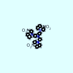 O=[N+]([O-])c1cccc(N(c2cccc(-n3c4ccc(N(c5cccc([N+](=O)[O-])c5)c5cccc6ccccc56)cc4c4cc(N(c5cccc([N+](=O)[O-])c5)c5cccc6ccccc56)ccc43)c2)c2cccc3ccccc23)c1